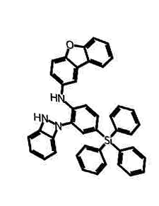 c1ccc([Si](c2ccccc2)(c2ccccc2)c2ccc(Nc3ccc4oc5ccccc5c4c3)c(-n3[nH]c4ccccc43)c2)cc1